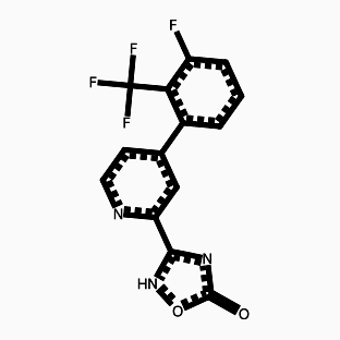 O=c1nc(-c2cc(-c3cccc(F)c3C(F)(F)F)ccn2)[nH]o1